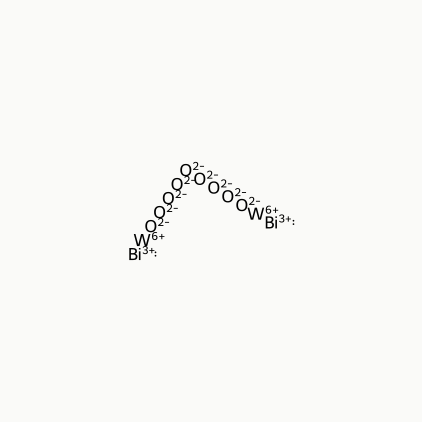 [Bi+3].[Bi+3].[O-2].[O-2].[O-2].[O-2].[O-2].[O-2].[O-2].[O-2].[O-2].[W+6].[W+6]